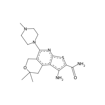 CN1CCN(c2nc3sc(C(N)=O)c(N)c3c3c2COC(C)(C)C3)CC1